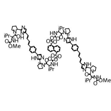 COC(=O)N[C@H](C(=O)N1CCCC1c1ncc(C=CC=Cc2ccc(-c3cnc([C@@H]4CCCN4C(=O)C(NC(=O)OS(=O)(=O)c4cccc5c(S(=O)(=O)OC(=O)NC(C(=O)N6CCC[C@H]6c6ncc(-c7ccc(C=CC=Cc8cnc(C9CCCN9C(=O)[C@@H](NC(=O)OC)C(C)C)[nH]8)cc7)[nH]6)C(C)C)cccc45)C(C)C)[nH]3)cc2)[nH]1)C(C)C